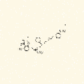 O=Cc1cccc(CCOCCCN(CCN(CCc2ccc(O)c3c2OCC(=O)N3)C(=O)O)C2CCCCC2)c1